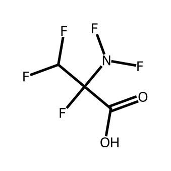 O=C(O)C(F)(C(F)F)N(F)F